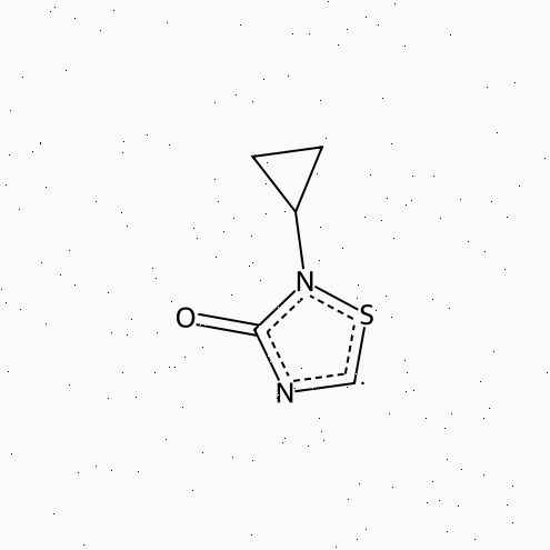 O=c1n[c]sn1C1CC1